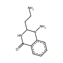 NCCC1NC(=O)c2ccccc2N1N